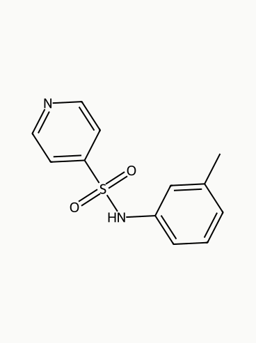 Cc1cccc(NS(=O)(=O)c2ccncc2)c1